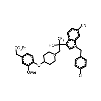 CCOC(=O)Cc1ccc(OC2CCN(CC(O)(c3cn(Cc4ccc(Cl)cc4)c4cc(C#N)ccc34)C(F)(F)F)CC2)c(OC)c1